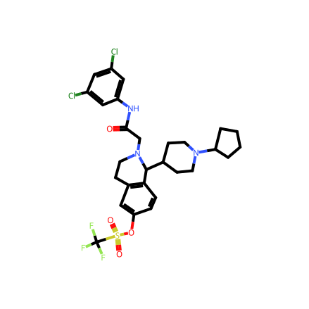 O=C(CN1CCc2cc(OS(=O)(=O)C(F)(F)F)ccc2C1C1CCN(C2CCCC2)CC1)Nc1cc(Cl)cc(Cl)c1